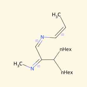 C\C=C/N=C\C(=N/C)C(CCCCCC)CCCCCC